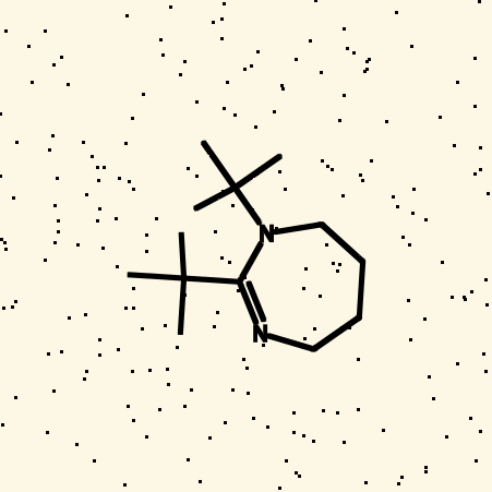 CC(C)(C)C1=NCCCCN1C(C)(C)C